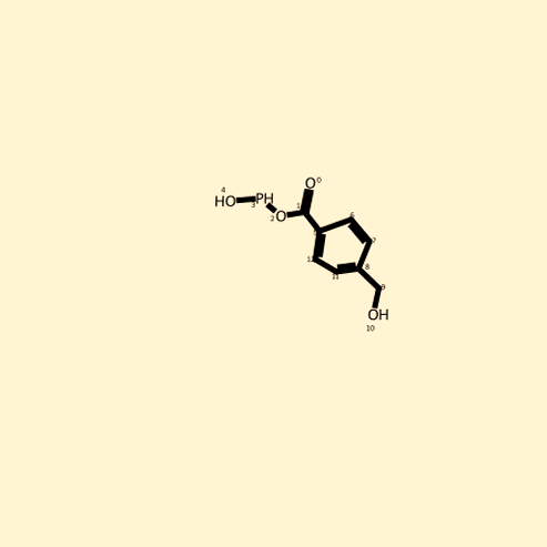 O=C(OPO)c1ccc(CO)cc1